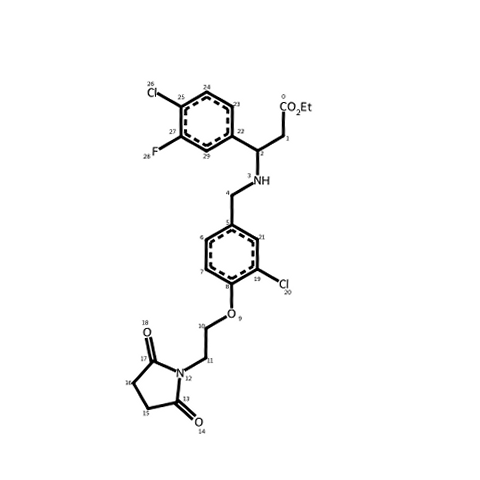 CCOC(=O)CC(NCc1ccc(OCCN2C(=O)CCC2=O)c(Cl)c1)c1ccc(Cl)c(F)c1